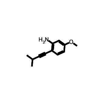 COc1ccc(C#CC(C)C)c(N)c1